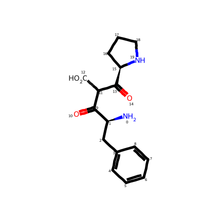 N[C@@H](Cc1ccccc1)C(=O)C(C(=O)O)C(=O)[C@H]1CCCN1